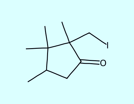 CC1CC(=O)C(C)(CI)C1(C)C